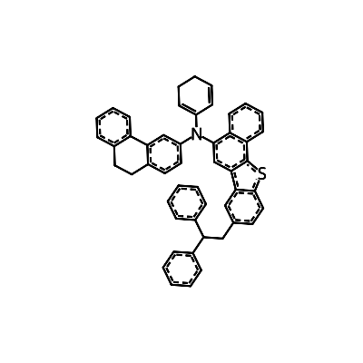 C1=CC(N(c2ccc3c(c2)-c2ccccc2CC3)c2cc3c4cc(CC(c5ccccc5)c5ccccc5)ccc4sc3c3ccccc23)=CCC1